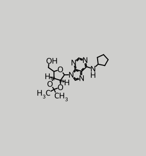 CC1(C)O[C@@H]2C(CO)OC(n3cnc4c(NC5CCCC5)ncnc43)[C@@H]2O1